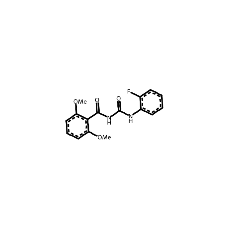 COc1cccc(OC)c1C(=O)NC(=O)Nc1ccccc1F